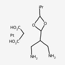 CC(C)C1OC(C(CN)CN)O1.O=C(O)CC(=O)O.[Pt]